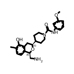 COc1cccc(NC(=O)N2CCC([C@@H]3Cc4c(ccc(C)c4O)[C@H](CN)O3)CC2)c1